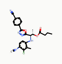 [C-]#[N+]c1ccc(N[C@@H](c2nnc(-c3ccc(C#N)cc3)o2)[C@H](C)OC(=O)CCC)c(C)c1Cl